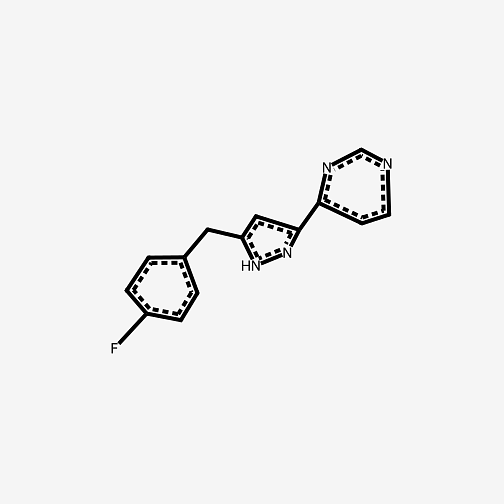 Fc1ccc(Cc2cc(-c3ccncn3)n[nH]2)cc1